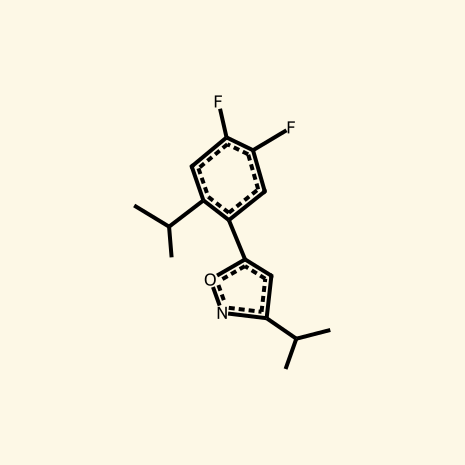 CC(C)c1cc(-c2cc(F)c(F)cc2C(C)C)on1